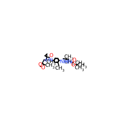 CCc1cc(NC(=O)C2(/C(C)=C/C3=C(C)OCO3)CC2)ccc1NCC(C)(C)CNC(=O)OC(C)(C)C